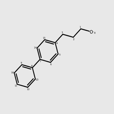 [O]CCCc1ccc(-c2ccccc2)cc1